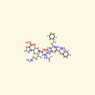 CC(C)C[C@@H](NC(=O)[C@@H](CCc1ccccc1)NC(=O)[C@H](N)Cc1ccccc1)C(=O)N[C@H](CCCCN)C(=O)N1CCC(N2CCCC2C(=O)O)CC1